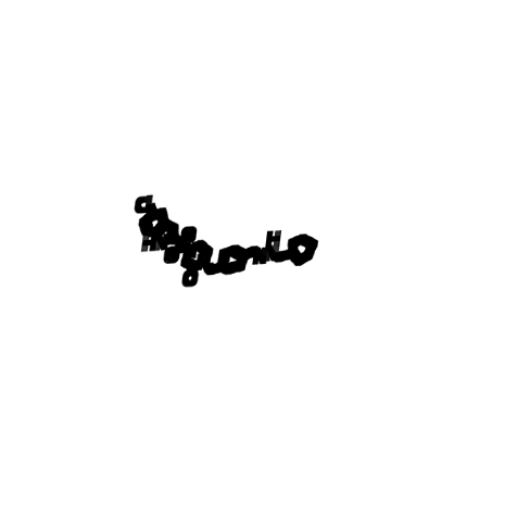 O=C1CN(S(=O)(=O)c2cc3cc(Cl)ccc3[nH]2)CCN1Cc1ccc(C=NNCC2CCCCC2)cc1